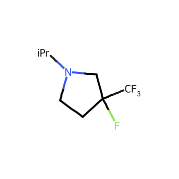 CC(C)N1CCC(F)(C(F)(F)F)C1